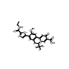 CCNC(=O)c1ncc(-c2cc3c(cc2OC)-c2cc(=O)c(C(=O)O)cn2C(C(C)(C)C)C3)s1